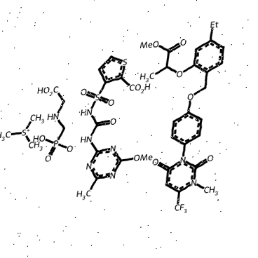 CCc1ccc(COc2ccc(-n3c(=O)cc(C(F)(F)F)n(C)c3=O)cc2)c(OC(C)C(=O)OC)c1.COc1nc(C)nc(NC(=O)NS(=O)(=O)c2ccsc2C(=O)O)n1.C[S+](C)C.O=C(O)CNCP(=O)([O-])O